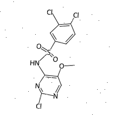 COc1cnc(Cl)nc1NS(=O)(=O)c1ccc(Cl)c(Cl)c1